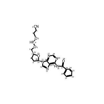 N#CCCOPOC[C@@H]1CC[C@H](n2cnc3c(NC(=O)c4ccccc4)ncnc32)O1